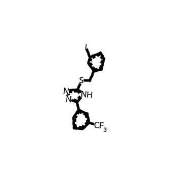 FC(F)(F)c1cccc(-c2nnc(SCc3cccc(I)c3)[nH]2)c1